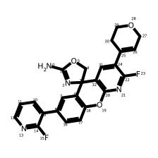 NC1=NC2(CO1)c1cc(-c3cccnc3F)ccc1Oc1nc(F)c(C3=CCOCC3)cc12